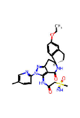 Cc1ccc(-n2nc3c(c2NC(=O)CS(C)(=N)=O)C(=O)N[C@@]2(CCc4cc(OCC(F)(F)F)ccc42)C3)nc1